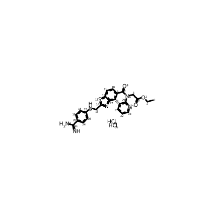 CCOC(=O)CN(C(=O)c1ccc2sc(CNc3ccc(C(=N)N)cc3)nc2c1)c1ccccn1.Cl.Cl